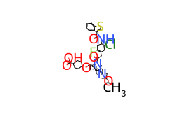 COC1CN([C@H]2C[C@@H](CO[C@H]3CC[C@H](C(=O)O)CC3)N(C(=O)Cc3cc(Cl)c(NC(=O)c4csc5ccccc45)cc3F)C2)C1